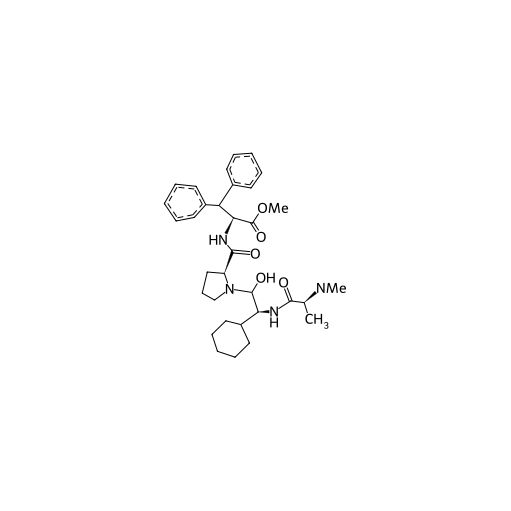 CN[C@@H](C)C(=O)N[C@@H](C1CCCCC1)C(O)N1CCC[C@H]1C(=O)N[C@H](C(=O)OC)C(c1ccccc1)c1ccccc1